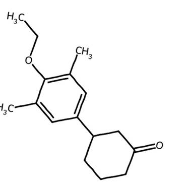 CCOc1c(C)cc(C2CCCC(=O)C2)cc1C